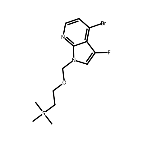 CS(C)(C)CCOCn1cc(F)c2c(Br)ccnc21